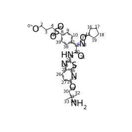 COCCCS(=O)(=O)c1ccc(/C(=N\OC2CCCC2)C(=O)Nc2nc3ccc(OCC(C)(C)N)nc3s2)cc1